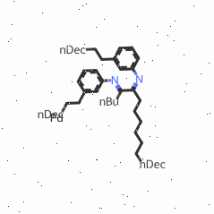 CCCCCCCCCCCCCCCCC(=Nc1cccc(CCCCCCCCCCCC)c1)C(CCCC)=Nc1cccc(CCCCCCCCCCCC)c1.[Pd]